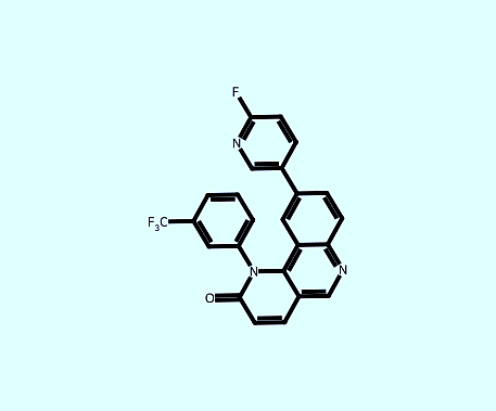 O=c1ccc2cnc3ccc(-c4ccc(F)nc4)cc3c2n1-c1cccc(C(F)(F)F)c1